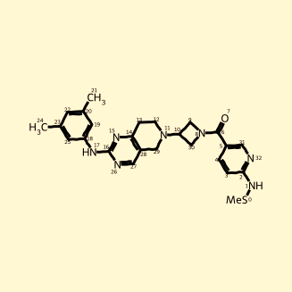 CSNc1ccc(C(=O)N2CC(N3CCc4nc(Nc5cc(C)cc(C)c5)ncc4C3)C2)cn1